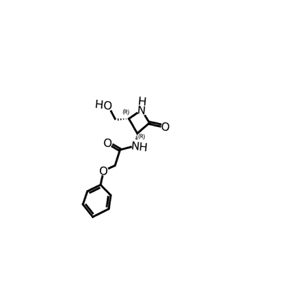 O=C(COc1ccccc1)N[C@H]1C(=O)N[C@H]1CO